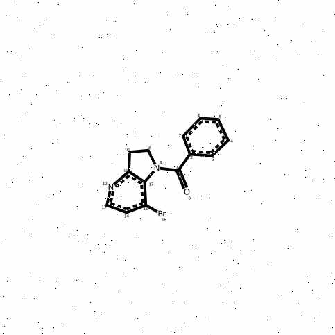 O=C(c1ccccc1)N1CCc2nccc(Br)c21